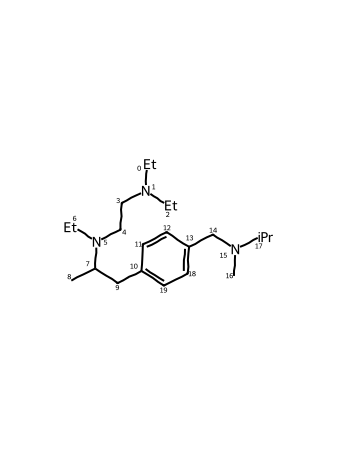 CCN(CC)CCN(CC)C(C)Cc1ccc(CN(C)C(C)C)cc1